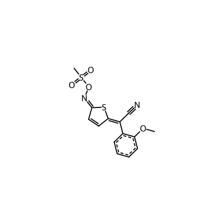 COc1ccccc1C(C#N)=C1C=CC(=NOS(C)(=O)=O)S1